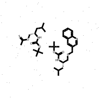 CC(=S)OC[C@H](CC(C)C)NC(=O)OC(C)(C)C.CC(C)C[C@@H](CSCc1cnc2ccccc2c1)NC(=O)OC(C)(C)C